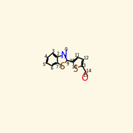 CN1c2ccccc2SC1c1ccc(C=O)s1